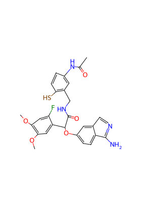 COc1cc(F)c(C(Oc2ccc3c(N)nccc3c2)C(=O)NCc2cc(NC(C)=O)ccc2S)cc1OC